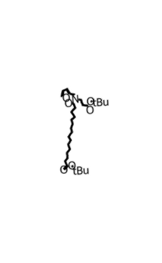 CC(C)(C)OC(=O)CCCCCCCCCCCCCCC(=O)N(CCC(=O)OC(C)(C)C)Cc1ccco1